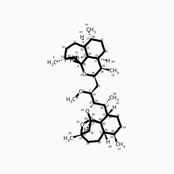 CO[C@@H](C[C@H]1O[C@@H]2C[C@]3(C)CC[C@H]4[C@H](C)CC[C@@H]([C@H]1C)[C@@]24OO3)[C@H]1O[C@@H]2C[C@]3(C)CC[C@H]4[C@H](C)CC[C@@H]([C@H]1C)[C@@]24OO3